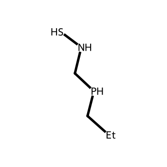 CCCPCNS